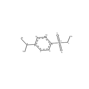 CCS(=O)(=O)c1ccc(C(C)C)cn1